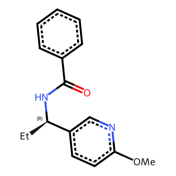 CC[C@@H](NC(=O)c1ccccc1)c1ccc(OC)nc1